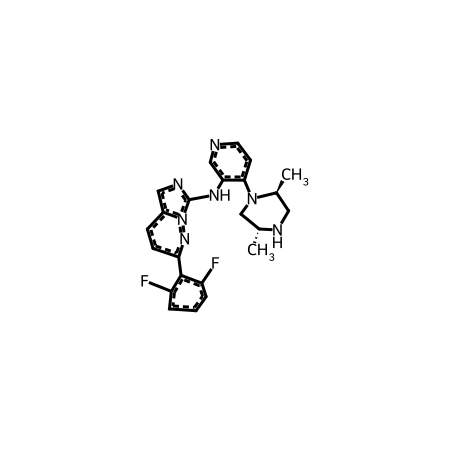 C[C@@H]1CN(c2ccncc2Nc2ncc3ccc(-c4c(F)cccc4F)nn23)[C@@H](C)CN1